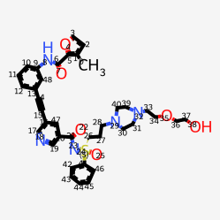 Cc1ccoc1C(=O)Nc1cccc(C#Cc2cncc(C(=O)N=[S@](=O)(CCCN3CCN(CCOCCO)CC3)c3ccccc3)c2)c1